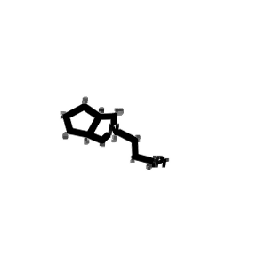 CC(C)CCN1CC2CCCC2C1